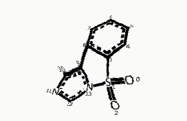 O=S1(=O)c2ccccc2-c2cncn21